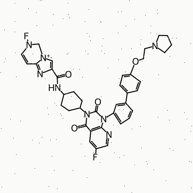 O=C(NC1CCC(n2c(=O)c3cc(F)cnc3n(-c3cccc(-c4ccc(OCCN5CCCC5)cc4)c3)c2=O)CC1)C1=C[N+]2CN(F)C=CC2=N1